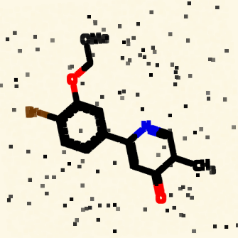 COCOc1cc(C2=CC(=O)C(C)C=N2)ccc1Br